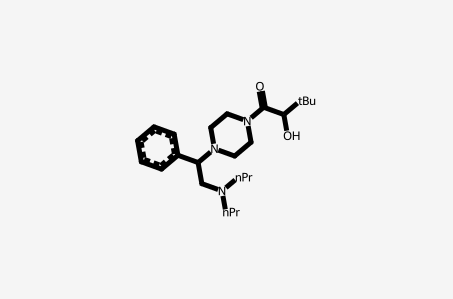 CCCN(CCC)CC(c1ccccc1)N1CCN(C(=O)C(O)C(C)(C)C)CC1